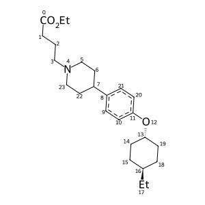 CCOC(=O)CCCN1CCC(c2ccc(O[C@H]3CC[C@H](CC)CC3)cc2)CC1